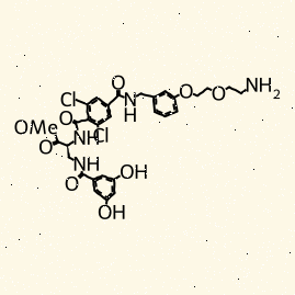 COC(=O)[C@H](CNC(=O)c1cc(O)cc(O)c1)NC(=O)c1c(Cl)cc(C(=O)NCc2cccc(OCCOCCN)c2)cc1Cl